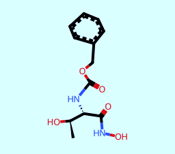 C[C@@H](O)[C@H](NC(=O)OCc1ccccc1)C(=O)NO